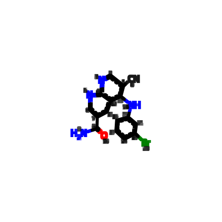 N#Cc1cnc2ncc(C(N)=O)cc2c1Nc1cccc(Br)c1